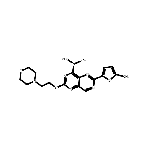 CCCN(CCC)c1nc(OCCN2CCOCC2)nc2cnc(-c3ccc(C)s3)nc12